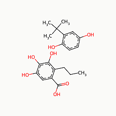 CC(C)(C)c1cc(O)ccc1O.CCCc1c(C(=O)O)cc(O)c(O)c1O